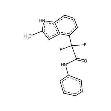 Cc1cc2c(C(F)(F)C(=O)Nc3ccccc3)cccc2[nH]1